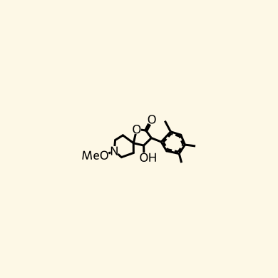 CON1CCC2(CC1)OC(=O)C(c1cc(C)c(C)cc1C)C2O